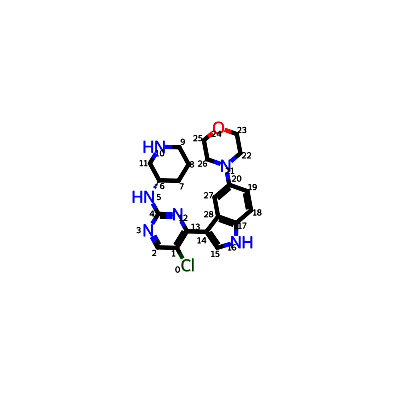 Clc1cnc(N[C@H]2CCCNC2)nc1-c1c[nH]c2ccc(N3CCOCC3)cc12